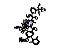 CCC(F)(F)c1cccc(NC(=O)/C(NO)=C(\C)N(COP(=O)(O)OC(C)(C)C)C(=O)c2ccc(OC)c(-c3c(C)cccc3C)c2)c1